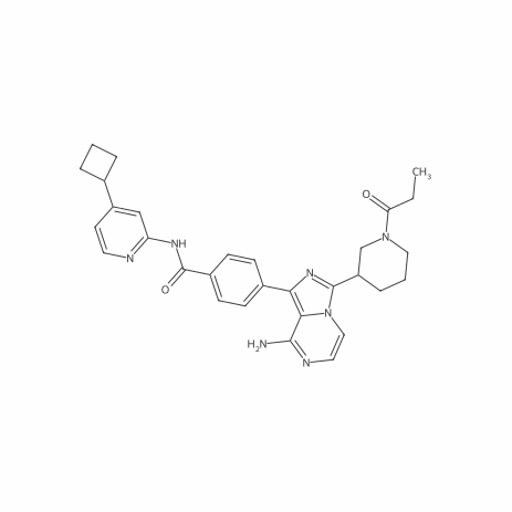 CCC(=O)N1CCCC(c2nc(-c3ccc(C(=O)Nc4cc(C5CCC5)ccn4)cc3)c3c(N)nccn23)C1